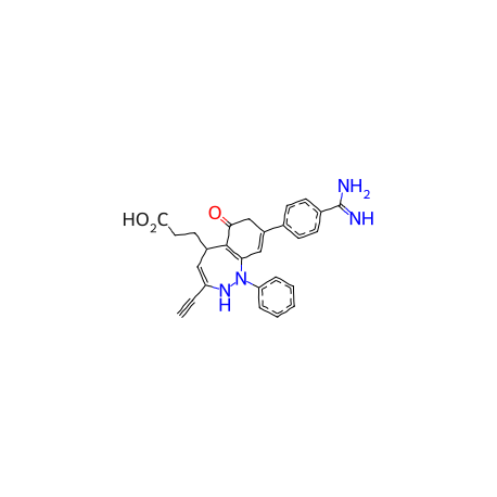 C#CC1=CC(CCC(=O)O)C2=C(C=C(c3ccc(C(=N)N)cc3)CC2=O)N(c2ccccc2)N1